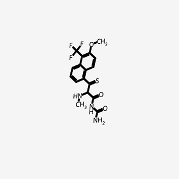 CNC(C(=O)NC(N)=O)C(=S)c1cccc2c(C(F)(F)F)c(OC)ccc12